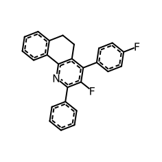 Fc1ccc(-c2c(F)c(-c3ccccc3)nc3c2CCc2ccccc2-3)cc1